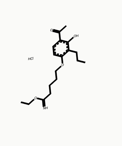 CCCc1c(OCCCCC(=N)OCC)ccc(C(C)=O)c1O.Cl